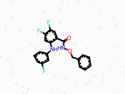 O=C(NOCc1ccccc1)c1cc(F)c(F)cc1Nc1cccc(F)c1